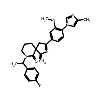 C=C1N=C(c2ccc(-n3cnc(C)c3)c(OC)c2)CC12CCCN(C(C)c1ccc(F)cc1)C2=O